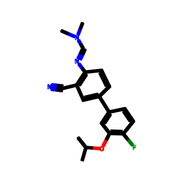 CC(C)Oc1cc(-c2ccc(N=CN(C)C)c(C#N)c2)ccc1F